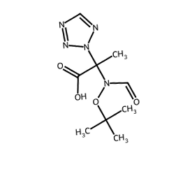 CC(C)(C)ON(C=O)C(C)(C(=O)O)n1ncnn1